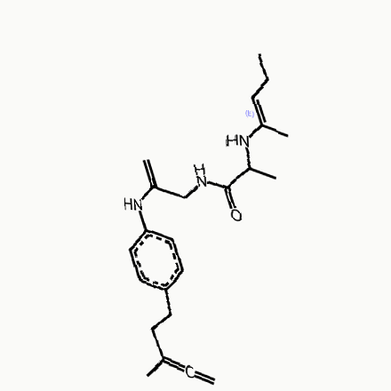 C=C=C(C)CCc1ccc(NC(=C)CNC(=O)C(C)N/C(C)=C/CC)cc1